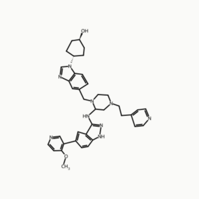 COc1ccncc1-c1ccc2[nH]nc(NC3CN(CCc4ccncc4)CCN3Cc3ccc4c(c3)ncn4[C@H]3CC[C@H](O)CC3)c2c1